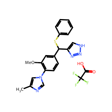 COc1cc(C(Sc2ccccc2)c2c[nH]nn2)ccc1-n1cnc(C)c1.O=C(O)C(F)(F)F